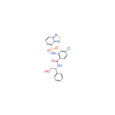 O=C(NC(CO)c1ccccc1)c1ccc(Cl)cc1NS(=O)(=O)c1cccc2nsnc12